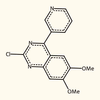 COc1cc2nc(Cl)nc(-c3cccnc3)c2cc1OC